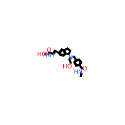 CCNC(=O)c1ccc(CN(CCO)C2CCc3cc(/C=C/C(=O)NO)ccc32)cc1